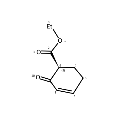 CCOC(=O)[C@H]1CCC=CC1=O